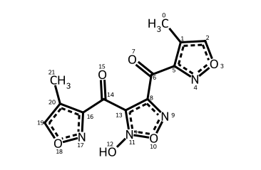 Cc1conc1C(=O)c1no[n+](O)c1C(=O)c1nocc1C